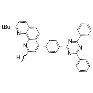 Cc1cc(C2C=CC(c3nc(-c4ccccc4)nc(-c4ccccc4)n3)=CC2)c2ccc3ccc(C(C)(C)C)nc3c2n1